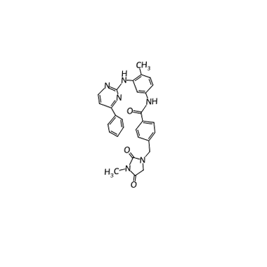 Cc1ccc(NC(=O)c2ccc(CN3CC(=O)N(C)C3=O)cc2)cc1Nc1nccc(-c2ccccc2)n1